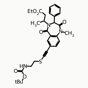 CCOC(=O)CC(C)N1C(=O)c2cc(C#CSCCNC(=O)OC(C)(C)C)ccc2N(C)C(=O)C1c1ccccc1